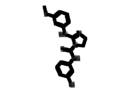 CSc1cccc(NC2=NCCN2C(=S)Nc2cccc(Cl)c2)c1